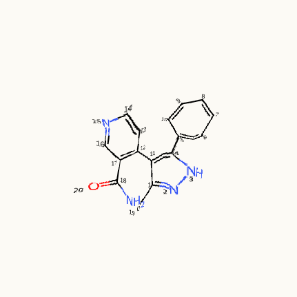 Cc1n[nH]c(-c2ccccc2)c1-c1ccncc1C(N)=O